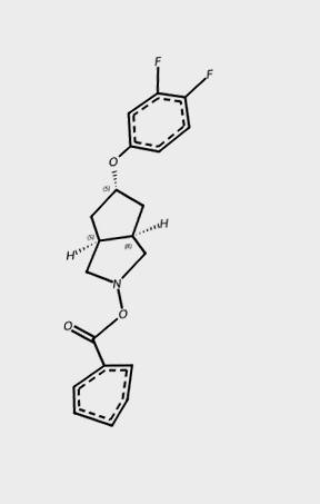 O=C(ON1C[C@H]2C[C@H](Oc3ccc(F)c(F)c3)C[C@H]2C1)c1ccccc1